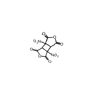 O=C1OC(=O)C2([N+](=O)[O-])C1C1([N+](=O)[O-])C(=O)OC(=O)C21